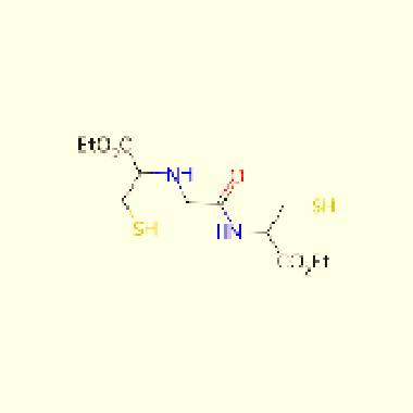 CCOC(=O)C(CS)NCC(=O)NC(CS)C(=O)OCC